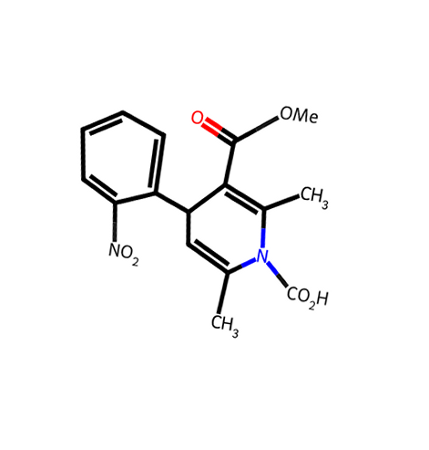 COC(=O)C1=C(C)N(C(=O)O)C(C)=CC1c1ccccc1[N+](=O)[O-]